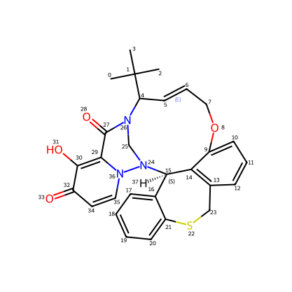 CC(C)(C)C1/C=C/COc2cccc3c2[C@@H](c2ccccc2SC3)N2CN1C(=O)c1c(O)c(=O)ccn12